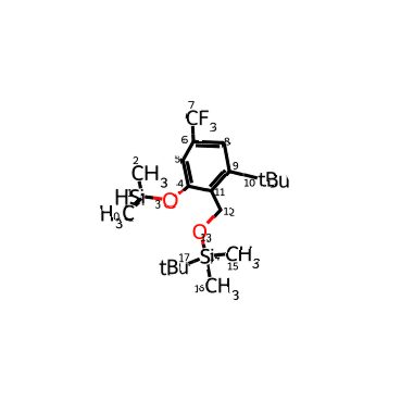 C[SiH](C)Oc1cc(C(F)(F)F)cc(C(C)(C)C)c1CO[Si](C)(C)C(C)(C)C